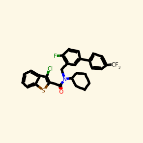 O=C(c1sc2ccccc2c1Cl)N(Cc1cc(-c2ccc(C(F)(F)F)cc2)ccc1F)C1CCCCC1